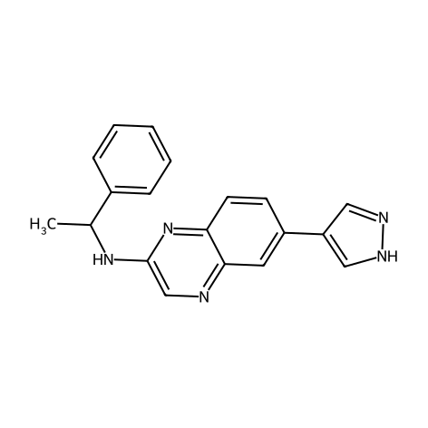 CC(Nc1cnc2cc(-c3cn[nH]c3)ccc2n1)c1ccccc1